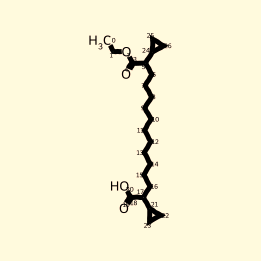 CCOC(=O)C(CCCCCCCCCCCC(C(=O)O)C1CC1)C1CC1